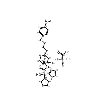 COc1ccc(OCCC[N+]23CCC(CC2)[C@@H](OC(=O)[C@](O)(c2cccs2)C2CCCC2)C3)cc1.O=C([O-])C(F)(F)F